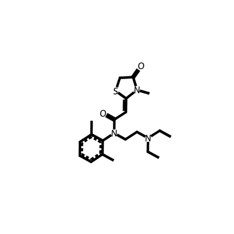 CCN(CC)CCN(C(=O)C=C1SCC(=O)N1C)c1c(C)cccc1C